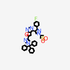 O=S1(=O)CC(n2cc(-c3ncnc4oc(-c5cn(C(c6ccccc6)(c6ccccc6)c6ccccc6)cn5)cc34)c(-c3ccc(F)cc3)n2)C1